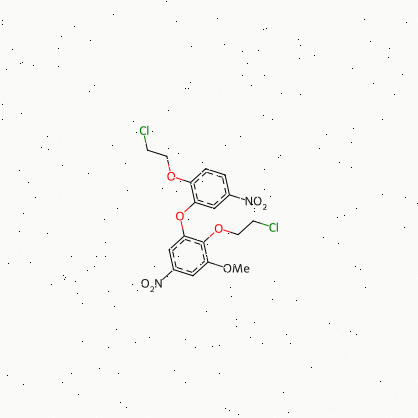 COc1cc([N+](=O)[O-])cc(Oc2cc([N+](=O)[O-])ccc2OCCCl)c1OCCCl